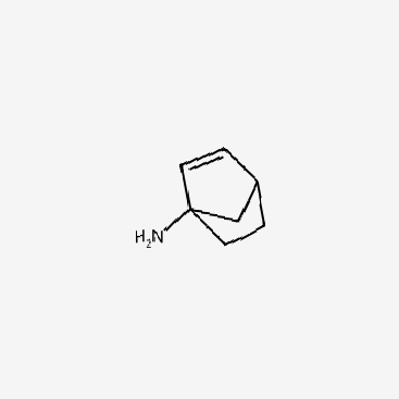 NC12C=CC(CC1)C2